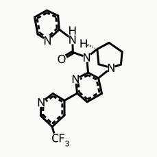 O=C(Nc1ccccn1)N1c2nc(-c3cncc(C(F)(F)F)c3)ccc2N2CCC[C@H]1C2